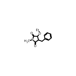 CCOC1C(=O)N(C)C(=O)C1Cc1ccccc1